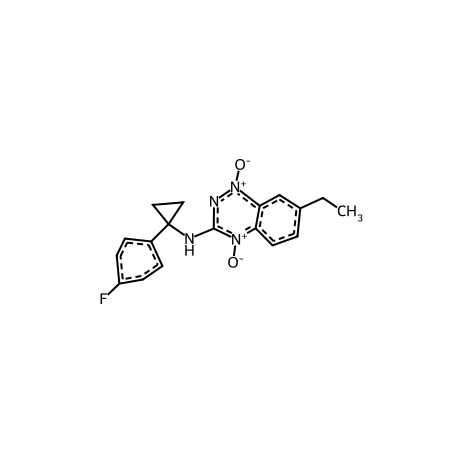 CCc1ccc2c(c1)[n+]([O-])nc(NC1(c3ccc(F)cc3)CC1)[n+]2[O-]